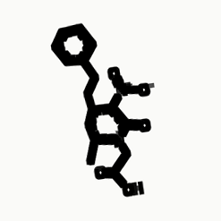 Cc1cc(CCc2ccccc2)c([N+](=O)[O-])c(=O)n1CC(=O)O